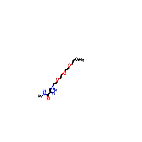 COCCOCCOCCOCCn1cc(C(=O)NC(C)C)nn1